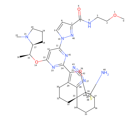 COCCNC(=O)c1ccn(-c2cc(O[C@@H](C)[C@@H]3CCCN3C)nc(-c3onc4c3CCC[C@@]43CCCc4sc(N)c(C#N)c43)n2)n1